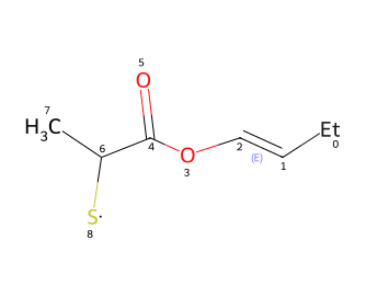 CC/C=C/OC(=O)C(C)[S]